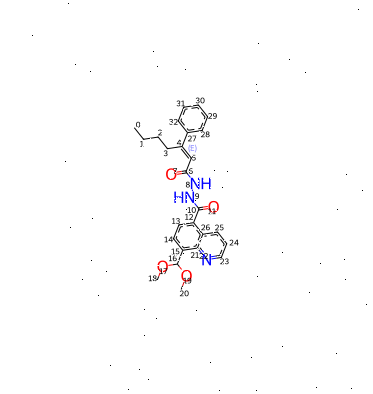 CCCC/C(=C\C(=O)NNC(=O)c1ccc(C(OC)OC)c2ncccc12)c1ccccc1